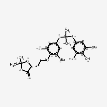 CC1(C)OC(=O)[C@@H](CCOc2c(C(C)(C)C)cc(SC(C)(C)Sc3cc(C(C)(C)C)c(O)c(C(C)(C)C)c3)cc2C(C)(C)C)O1